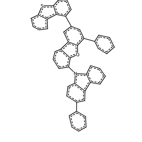 c1ccc(-c2ccc3c(c2)c2ccccc2n3-c2cccc3c2oc2c(-c4ccccc4)cc(-c4cccc5sc6ccccc6c45)cc23)cc1